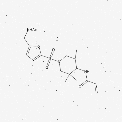 C=CC(=O)NC1C(C)(C)CN(S(=O)(=O)c2ccc(CNC(C)=O)s2)CC1(C)C